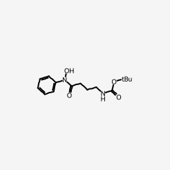 CC(C)(C)OC(=O)NCCCC(=O)N(O)c1ccccc1